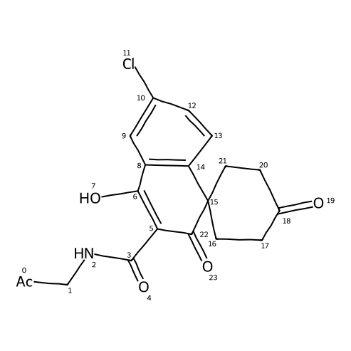 CC(=O)CNC(=O)C1=C(O)c2cc(Cl)ccc2C2(CCC(=O)CC2)C1=O